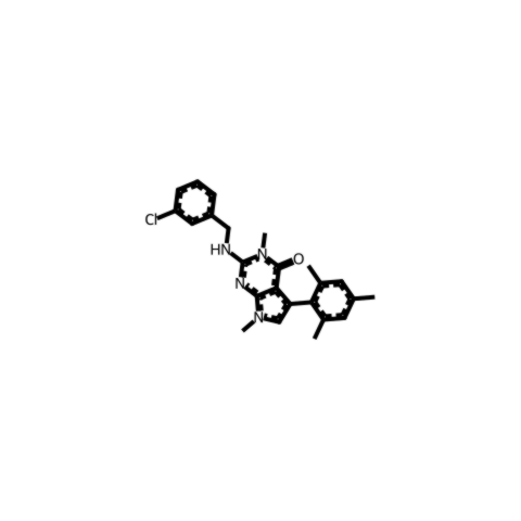 Cc1cc(C)c(-c2cn(C)c3nc(NCc4cccc(Cl)c4)n(C)c(=O)c23)c(C)c1